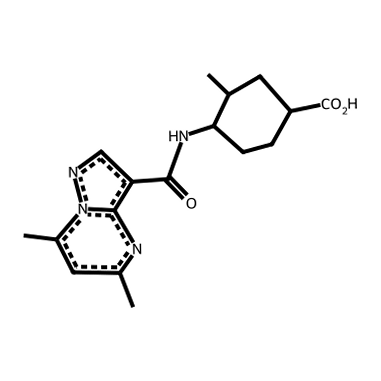 Cc1cc(C)n2ncc(C(=O)NC3CCC(C(=O)O)CC3C)c2n1